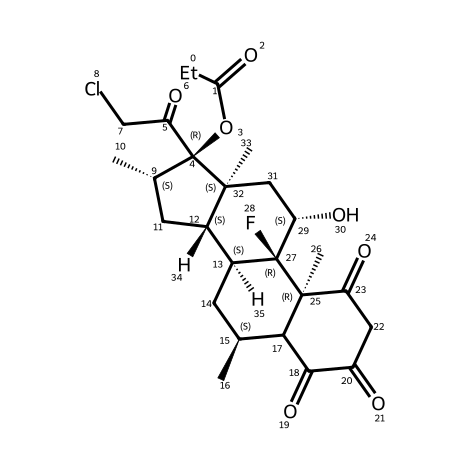 CCC(=O)O[C@]1(C(=O)CCl)[C@@H](C)C[C@H]2[C@@H]3C[C@H](C)C4C(=O)C(=O)CC(=O)[C@]4(C)[C@@]3(F)[C@@H](O)C[C@@]21C